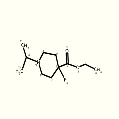 CCOC(=O)C1(F)CCN(C(C)C)CC1